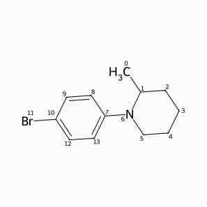 CC1CCCCN1c1ccc(Br)cc1